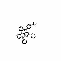 CC(C)(C)c1ccc(N2c3ccccc3B3c4ccccc4N(c4ccccc4)c4cc(C5CCCCC5)cc2c43)cc1